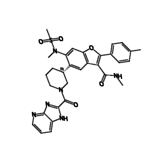 CNC(=O)c1c(-c2ccc(C)cc2)oc2cc(N(C)S(C)(=O)=O)c([C@H]3CCCN(C(=O)c4nc5ncccc5[nH]4)C3)cc12